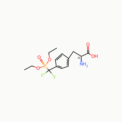 CCOP(=O)(OCC)C(F)(F)c1ccc(C[C@H](N)C(=O)O)cc1